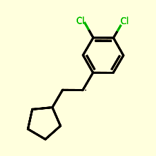 Clc1ccc([CH]CC2CCCC2)cc1Cl